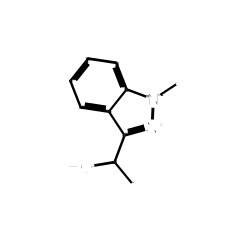 CC(O)c1nn(C)c2ccccc12